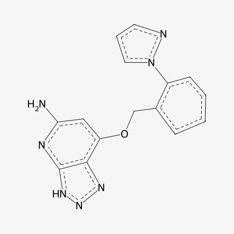 Nc1cc(OCc2ccccc2-n2cccn2)c2nn[nH]c2n1